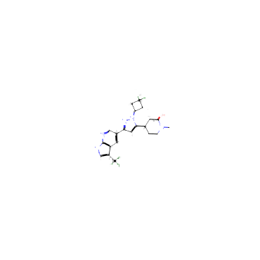 CN1CCC(c2cc(-c3cnc4[nH]cc(C(F)(F)F)c4c3)nn2C2CC(F)(F)C2)CC1=O